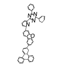 C1=CCCC(c2nc(-c3ccccc3)nc(-c3cccc(-c4ccc5c(c4)oc4ccc(C6=CC=C7c8ccccc8-c8ccccc8C7C6)cc45)n3)n2)=C1